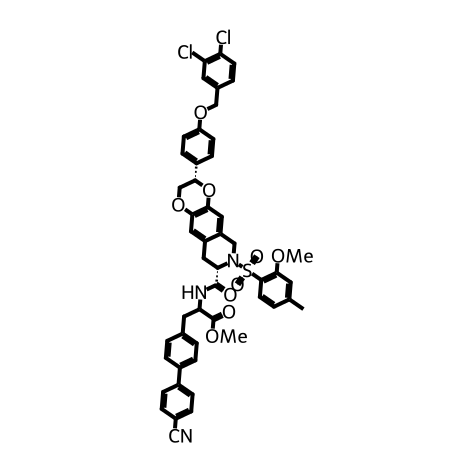 COC(=O)C(Cc1ccc(-c2ccc(C#N)cc2)cc1)NC(=O)[C@@H]1Cc2cc3c(cc2CN1S(=O)(=O)c1ccc(C)cc1OC)O[C@@H](c1ccc(OCc2ccc(Cl)c(Cl)c2)cc1)CO3